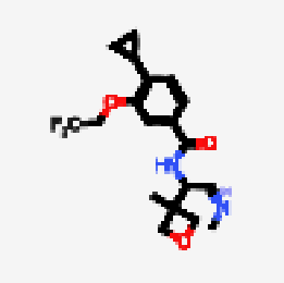 C/N=C\C(NC(=O)c1ccc(C2CC2)c(OCC(F)(F)F)c1)C1(C)COC1